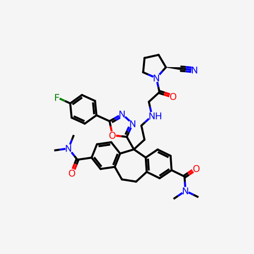 CN(C)C(=O)c1ccc2c(c1)CCc1cc(C(=O)N(C)C)ccc1C2(CCNCC(=O)N1CCC[C@H]1C#N)c1nnc(-c2ccc(F)cc2)o1